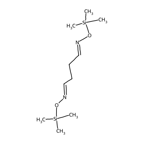 C[Si](C)(C)ON=CCCC=NO[Si](C)(C)C